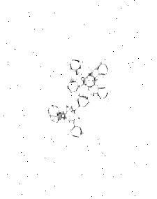 c1ccc(-c2nc(-c3ccc(-n4c5ccccc5c5c6c7ccccc7sc6c6c(c7ccccc7n6-c6ccccc6)c54)cc3)nc(C34CC5CC(CC(C5)C3)C4)n2)cc1